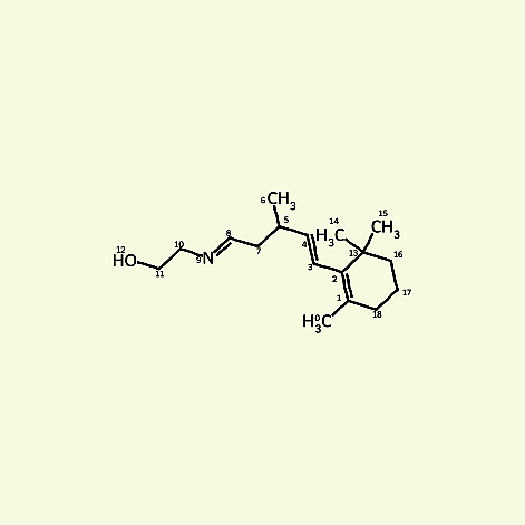 CC1=C(C=CC(C)CC=NCCO)C(C)(C)CCC1